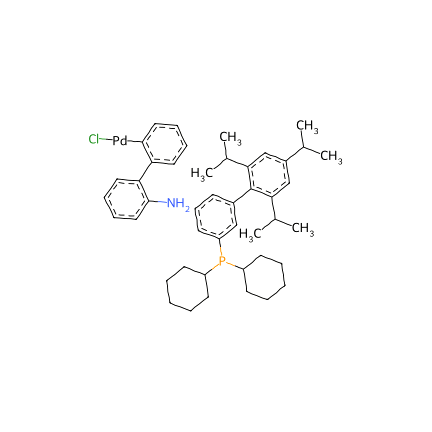 CC(C)c1cc(C(C)C)c(-c2cccc(P(C3CCCCC3)C3CCCCC3)c2)c(C(C)C)c1.Nc1ccccc1-c1cccc[c]1[Pd][Cl]